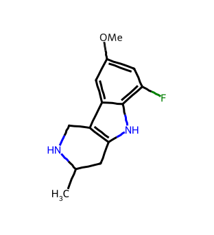 COc1cc(F)c2[nH]c3c(c2c1)CNC(C)C3